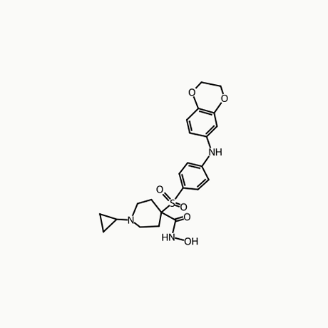 O=C(NO)C1(S(=O)(=O)c2ccc(Nc3ccc4c(c3)OCCO4)cc2)CCN(C2CC2)CC1